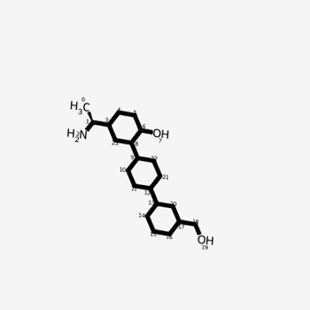 C[C@H](N)C1CCC(O)C(C2CCC(C3CCCC(CO)C3)CC2)C1